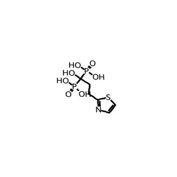 O=P(O)(O)C(O)(CCc1nccs1)P(=O)(O)O